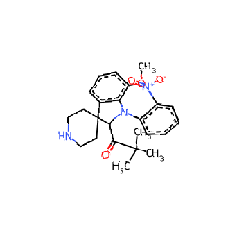 COc1cccc2c1N(c1ccccc1[N+](=O)[O-])C(C(=O)C(C)(C)C)C21CCNCC1